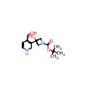 CC(C)(C)OC(=O)N1CC(O)(C2=C(CO)C=CNC2)C1